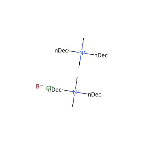 CCCCCCCCCC[N+](C)(C)CCCCCCCCCC.CCCCCCCCCC[N+](C)(C)CCCCCCCCCC.[Br-].[Cl-]